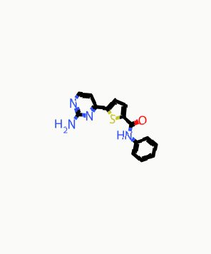 Nc1nccc(-c2ccc(C(=O)Nc3ccccc3)s2)n1